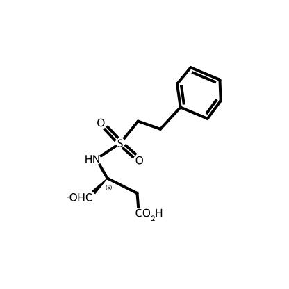 O=[C][C@H](CC(=O)O)NS(=O)(=O)CCc1ccccc1